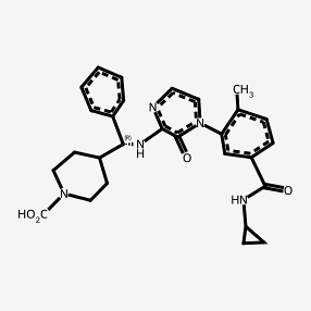 Cc1ccc(C(=O)NC2CC2)cc1-n1ccnc(N[C@@H](c2ccccc2)C2CCN(C(=O)O)CC2)c1=O